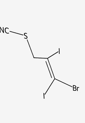 N#CSCC(I)=C(Br)I